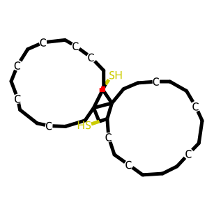 CC1(C2(CS)CCCCCCCCCCCCCCCC2S)CCCCCCCCCCCCCCC1